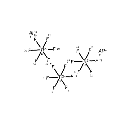 [Al+3].[Al+3].[F][Ti-2]([F])([F])([F])([F])[F].[F][Ti-2]([F])([F])([F])([F])[F].[F][Ti-2]([F])([F])([F])([F])[F]